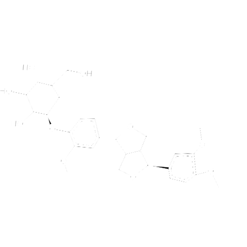 COc1ccc([C@H]2OCC3C2CO[C@H]3c2ccc(O[C@@H]3CC(CO)[C@@H](O)C(O)C3O)c(OC)c2)cc1OC